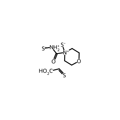 O=C(O)C=S.O=C([NH2+][S-])[N+]1([S-])CCOCC1